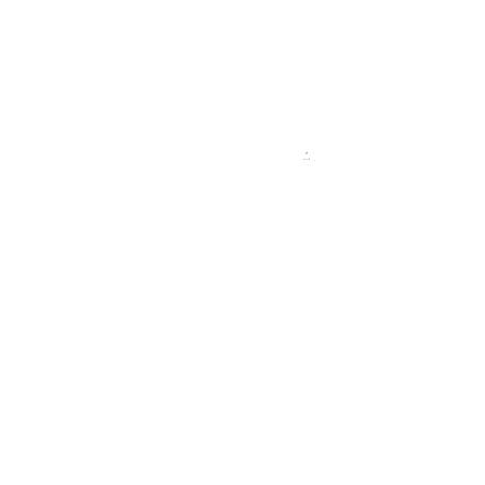 CC(=O)c1ccc(C2CCCc3ccccc32)cc1